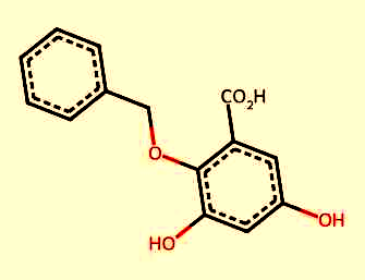 O=C(O)c1cc(O)cc(O)c1OCc1ccccc1